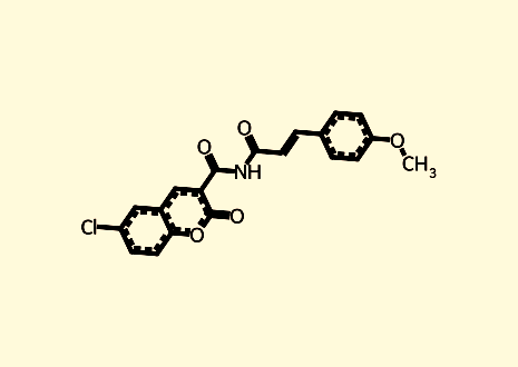 COc1ccc(C=CC(=O)NC(=O)c2cc3cc(Cl)ccc3oc2=O)cc1